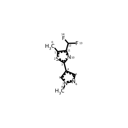 Cc1sc(-c2cnn(C)c2)nc1C(F)F